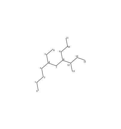 CCCCC(CC)CC(CCC)C(C)CC